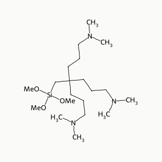 CO[Si](CC(CCCN(C)C)(CCCN(C)C)CCCN(C)C)(OC)OC